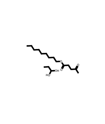 CCC(O)O.CCCCCCCCCOC(=O)CCC(C)=O